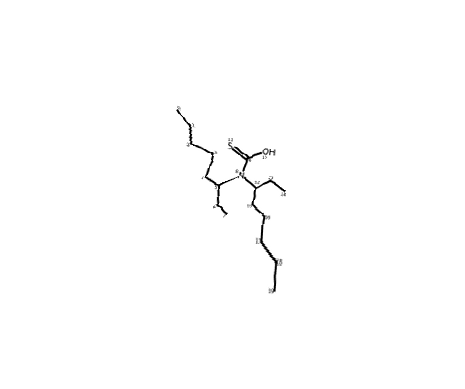 CCCCCC(CC)N(C(O)=S)C(CC)CCCCC